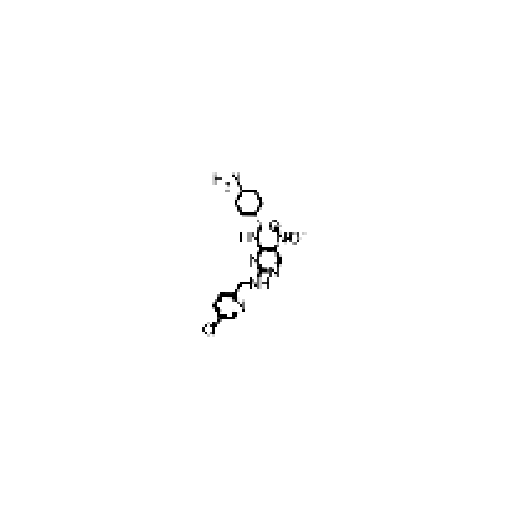 N[C@H]1CC[C@H](CNc2nc(NCc3ccc(Cl)cn3)ncc2[N+](=O)[O-])CC1